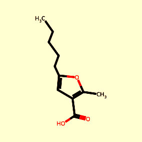 CCCCCc1cc(C(=O)O)c(C)o1